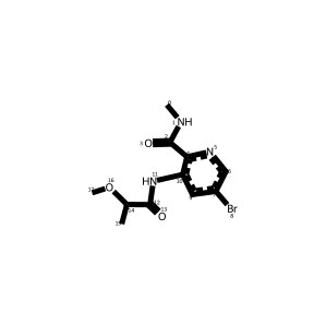 CNC(=O)c1ncc(Br)cc1NC(=O)C(C)OC